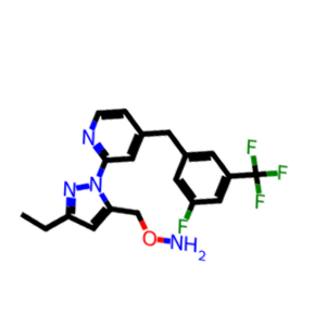 CCc1cc(CON)n(-c2cc(Cc3cc(F)cc(C(F)(F)F)c3)ccn2)n1